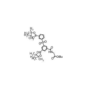 CC(C)COC(=O)CNC(=O)c1cc(B2OC(C)(C)C(C)(C)O2)cc(S(=O)(=O)c2cccc(B3OC(C)(C)C(C)(C)O3)c2)c1